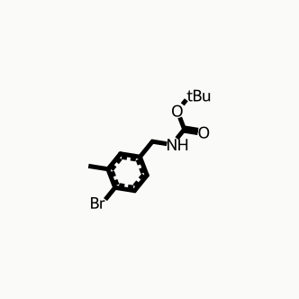 Cc1cc(CNC(=O)OC(C)(C)C)ccc1Br